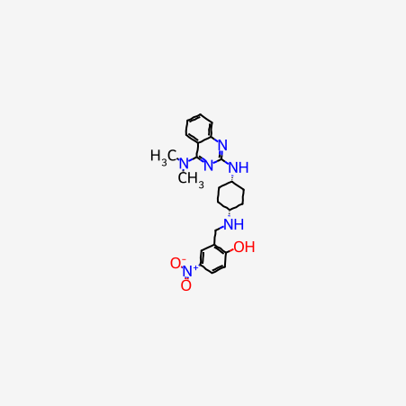 CN(C)c1nc(N[C@H]2CC[C@@H](NCc3cc([N+](=O)[O-])ccc3O)CC2)nc2ccccc12